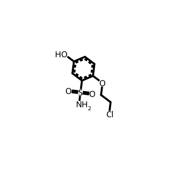 NS(=O)(=O)c1cc(O)ccc1OCCCl